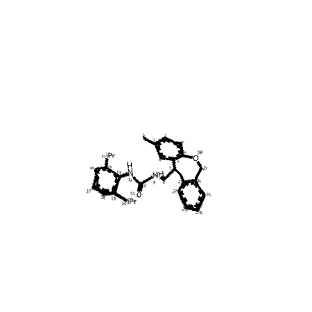 Cc1ccc2c(c1)C(CNC(=O)Nc1c(C(C)C)cccc1C(C)C)c1ccccc1CO2